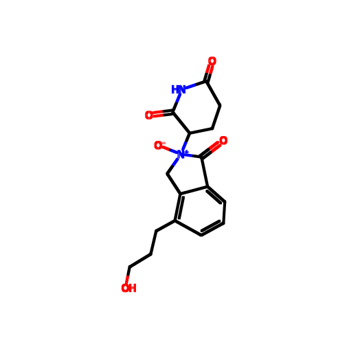 O=C1CCC([N+]2([O-])Cc3c(CCCO)cccc3C2=O)C(=O)N1